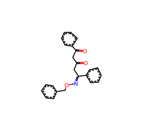 O=C(CC(=O)c1ccccc1)C/C(=N\OCc1ccccc1)c1ccccc1